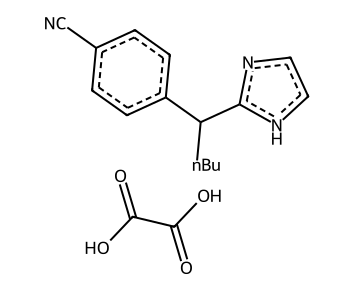 CCCCC(c1ccc(C#N)cc1)c1ncc[nH]1.O=C(O)C(=O)O